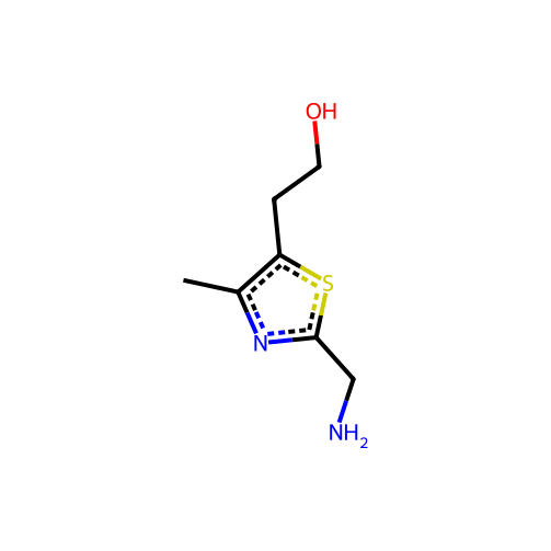 Cc1nc(CN)sc1CCO